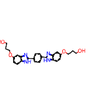 OCCCOc1ccc2[nH]c(-c3ccc(-c4nc5cc(OCCCO)ccc5[nH]4)cc3)nc2c1